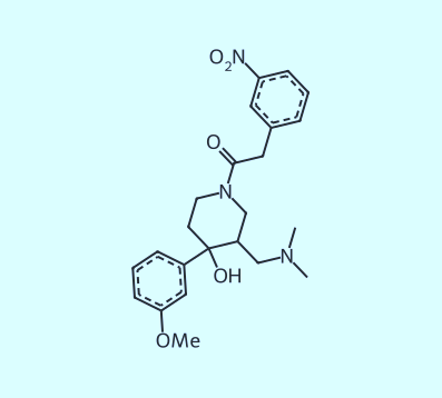 COc1cccc(C2(O)CCN(C(=O)Cc3cccc([N+](=O)[O-])c3)CC2CN(C)C)c1